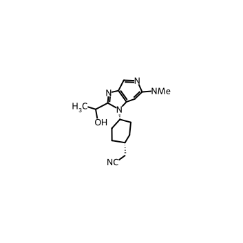 CNc1cc2c(cn1)nc(C(C)O)n2[C@H]1CC[C@@H](CC#N)CC1